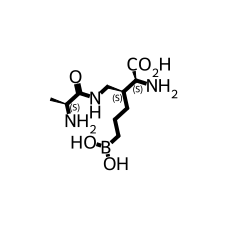 C[C@H](N)C(=O)NC[C@H](CCCB(O)O)[C@H](N)C(=O)O